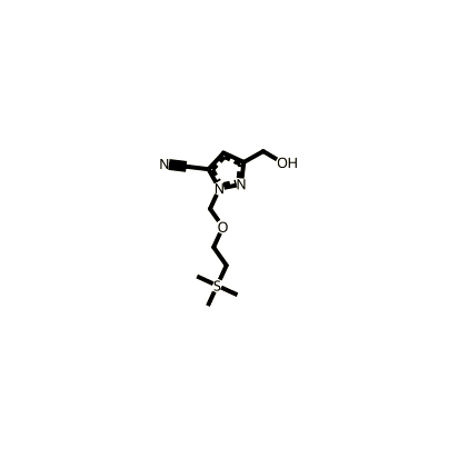 CS(C)(C)CCOCn1nc(CO)cc1C#N